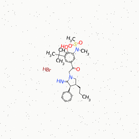 Br.CCC[C@@H]1CN(CC(=O)c2cc(N(C)S(C)(=O)=O)c(O)c(C(C)(C)C)c2)C(=N)[C@@H]1c1ccccc1